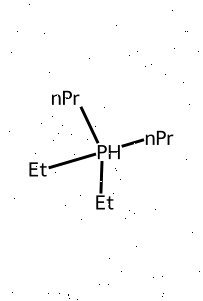 CCC[PH](CC)(CC)CCC